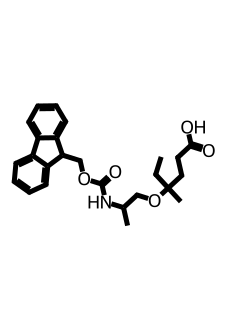 CCC(C)(CCC(=O)O)OCC(C)NC(=O)OCC1c2ccccc2-c2ccccc21